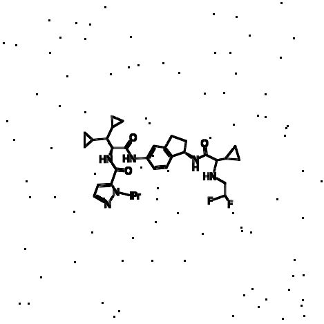 CC(C)n1nccc1C(=O)N[C@H](C(=O)Nc1ccc2c(c1)CC[C@H]2NC(=O)C(NCC(F)F)C1CC1)C(C1CC1)C1CC1